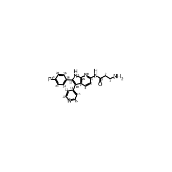 NCCC(=O)Nc1ccc2c(-c3ccncc3)c(-c3ccc(F)cc3)[nH]c2n1